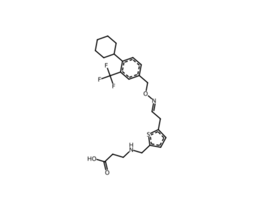 O=C(O)CCNCc1ccc(CC=NOCc2ccc(C3CCCCC3)c(C(F)(F)F)c2)s1